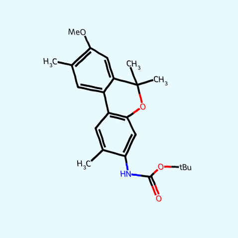 COc1cc2c(cc1C)-c1cc(C)c(NC(=O)OC(C)(C)C)cc1OC2(C)C